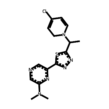 CC(c1nnc(-c2cncc(N(C)C)n2)s1)N1C=CC(Cl)=CC1